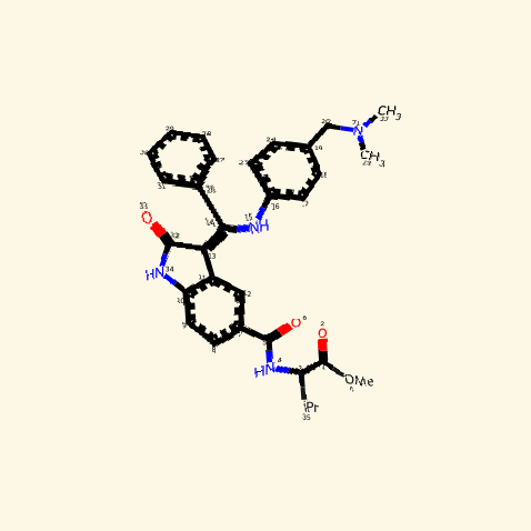 COC(=O)C(NC(=O)c1ccc2c(c1)C(=C(Nc1ccc(CN(C)C)cc1)c1ccccc1)C(=O)N2)C(C)C